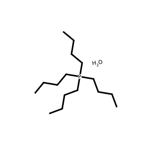 CCCC[P](CCCC)(CCCC)CCCC.O